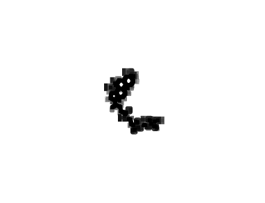 CC(CCC(=O)NCCS(=O)(=O)OCOP(=O)(O)O)C1CCC2C3C(CCC12C)C1(C)CCC(O)(F)CC1CC3(O)F